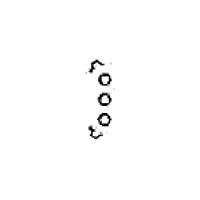 O=C1C=CC(=O)N1c1ccc(Oc2cccc(Oc3ccc(N4C(=O)CCC4=O)cc3)c2)cc1